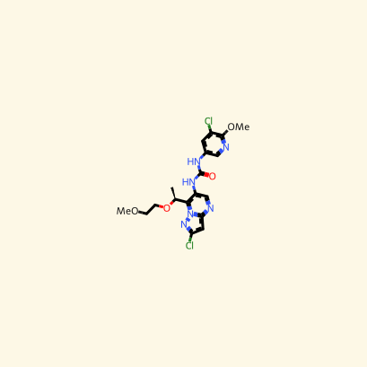 COCCO[C@@H](C)c1c(NC(=O)Nc2cnc(OC)c(Cl)c2)cnc2cc(Cl)nn12